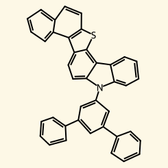 c1ccc(-c2cc(-c3ccccc3)cc(-n3c4ccccc4c4c5sc6ccc7ccccc7c6c5ccc43)c2)cc1